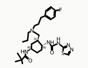 CCCN(CCCc1ccc(F)cc1)C[C@@H]1C[C@H](NC(=O)C(C)(C)C)CC[C@H]1NC(=O)Nc1nncs1